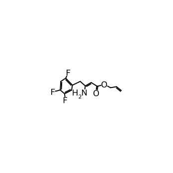 C=CCOC(=O)C=C(N)Cc1cc(F)c(F)cc1F